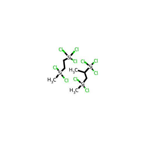 CC(C[Si](C)(Cl)Cl)[Si](Cl)(Cl)Cl.C[Si](Cl)(Cl)CC[Si](Cl)(Cl)Cl